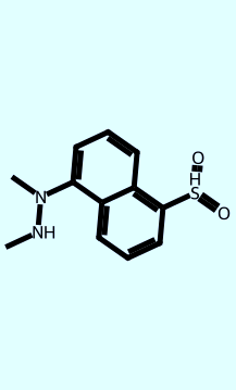 CNN(C)c1cccc2c([SH](=O)=O)cccc12